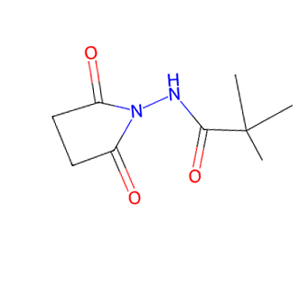 CC(C)(C)C(=O)NN1C(=O)CCC1=O